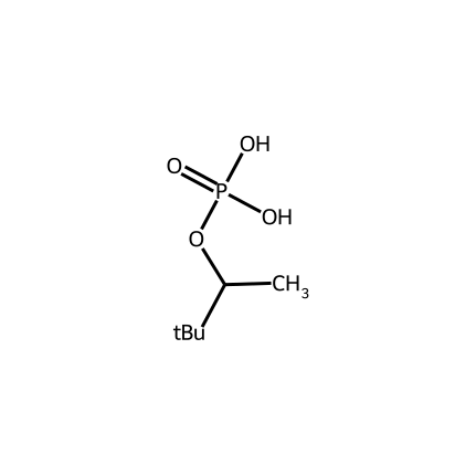 CC(OP(=O)(O)O)C(C)(C)C